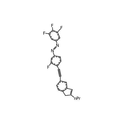 CCCC1=Cc2cc(C#Cc3ccc(N=Nc4cc(F)c(F)c(F)c4)cc3F)ccc2C1